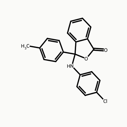 Cc1ccc(C2(Nc3ccc(Cl)cc3)OC(=O)c3ccccc32)cc1